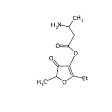 CCC1=C(OC(=O)CC(C)N)C(=O)C(C)O1